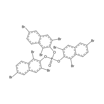 O=P(Oc1c(Br)cc2cc(Br)ccc2c1Br)(Oc1c(Br)cc2cc(Br)ccc2c1Br)Oc1c(Br)cc2cc(Br)ccc2c1Br